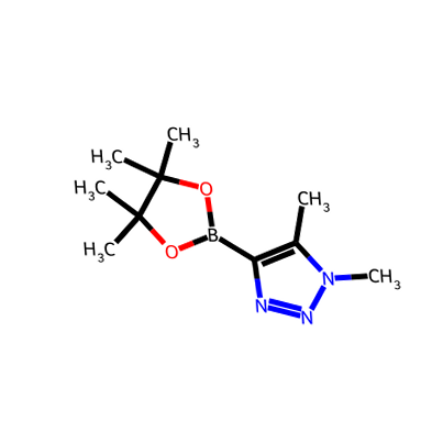 Cc1c(B2OC(C)(C)C(C)(C)O2)nnn1C